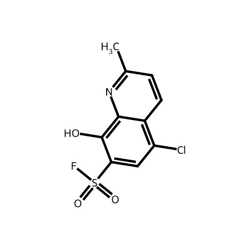 Cc1ccc2c(Cl)cc(S(=O)(=O)F)c(O)c2n1